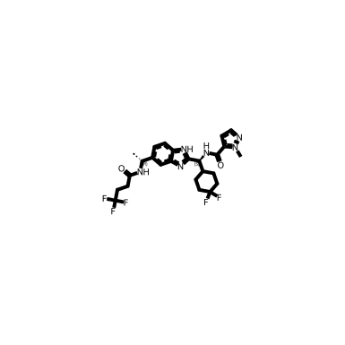 C[C@@H](NC(=O)CCC(F)(F)F)c1ccc2[nH]c([C@@H](NC(=O)c3ccnn3C)C3CCC(F)(F)CC3)nc2c1